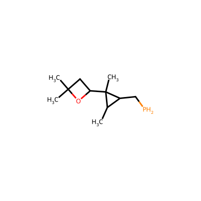 CC1C(CP)C1(C)C1CC(C)(C)O1